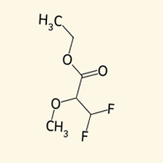 CCOC(=O)C(OC)C(F)F